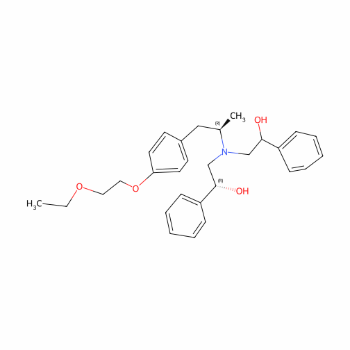 CCOCCOc1ccc(C[C@@H](C)N(CC(O)c2ccccc2)C[C@H](O)c2ccccc2)cc1